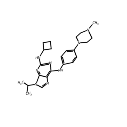 CC(C)n1cnc2c(Nc3ccc(N4CCN(C)CC4)cc3)nc(NC3CCC3)nc21